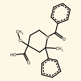 COC1(C(=O)O)CCN(C(=O)c2ccccc2)C(C)(c2ccccc2)C1